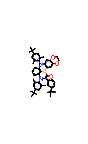 Cc1cc(C(C)(C)C)cc(C)c1N1c2cc3c(cc2B2c4oc5ccc(C(C)(C)C)cc5c4N(c4c(C)cc(C(C)(C)C)cc4C)c4cccc1c42)OCCO3